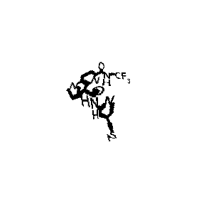 O=C(NCC(F)(F)F)c1ccc2c(n1)C(C(=O)Nc1cc(C#CSI)ccn1)[C@H]1CCN2C1